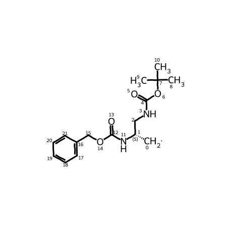 [CH2][C@@H](CNC(=O)OC(C)(C)C)NC(=O)OCc1ccccc1